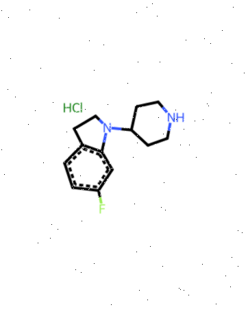 Cl.Fc1ccc2c(c1)N(C1CCNCC1)CC2